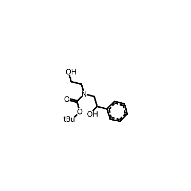 CC(C)(C)OC(=O)N(CCO)CC(O)c1ccccc1